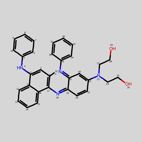 Cc1cc(Nc2ccccc2)c2ccccc2c1/N=C1/C=CC(N(CCO)CCO)=C/C1=N\c1ccccc1